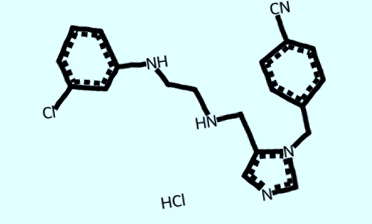 Cl.N#Cc1ccc(Cn2cncc2CNCCNc2cccc(Cl)c2)cc1